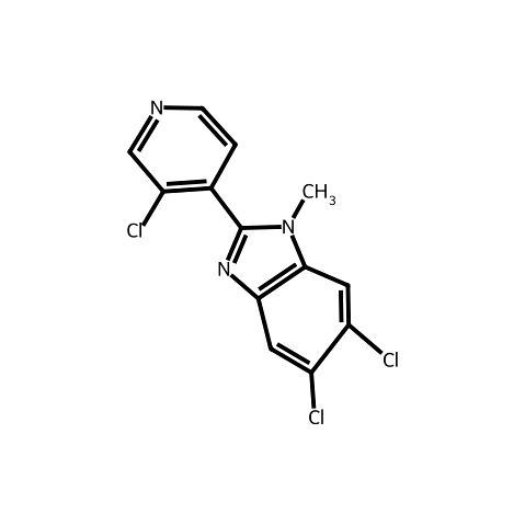 Cn1c(-c2ccncc2Cl)nc2cc(Cl)c(Cl)cc21